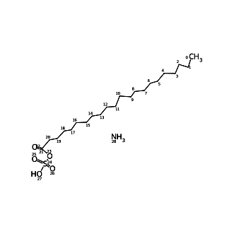 CCCCCCCCCCCCCCCCCCCCCC(=O)OS(=O)(=O)O.N